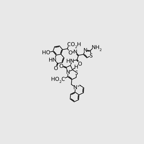 Nc1nc(/C(=N/OC(C(=O)O)c2ccc(O)c3[nH]c(=O)ccc23)C(=O)N[C@@H]2C(=O)N3C(C(=O)O)=C(C[n+]4cccc5ccccc54)CS[C@@H]23)cs1